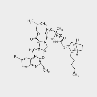 C=CCCC[C@@H]1[C@H]2CC[C@H]2C[C@H]1OC(=O)N[C@H](C(=O)N1C[C@H](Oc2nc3cc(F)ccc3nc2C=C)[C@@H](C)[C@H]1C(=O)OCC(C)C)C(C)(C)C